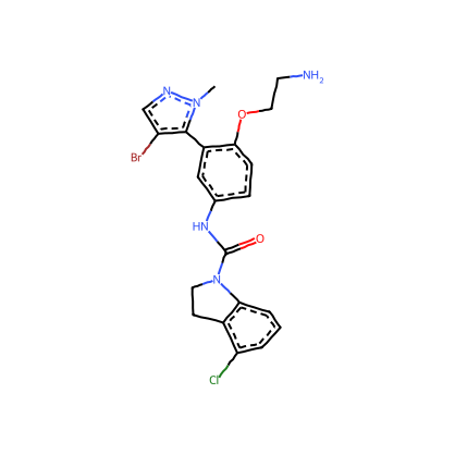 Cn1ncc(Br)c1-c1cc(NC(=O)N2CCc3c(Cl)cccc32)ccc1OCCN